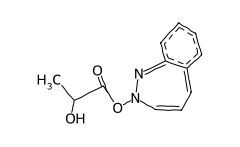 CC(O)C(=O)ON1C=CC=c2ccccc2=N1